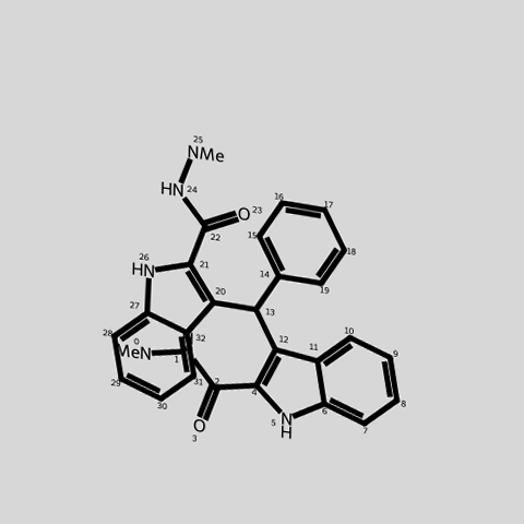 CNNC(=O)c1[nH]c2ccccc2c1C(c1ccccc1)c1c(C(=O)NNC)[nH]c2ccccc12